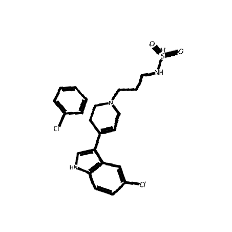 Clc1ccccc1.O=[SH](=O)NCCCN1CC=C(c2c[nH]c3ccc(Cl)cc23)CC1